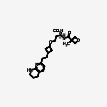 CC1(C(=O)N[C@@H](CCOC2CC(CCc3ccc4c(n3)NCCC4)C2)C(=O)O)COC1